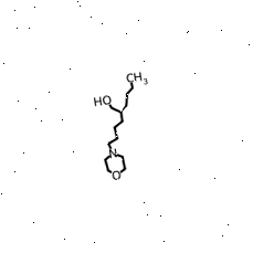 CCCC[C@H](CO)CCCCN1CCOCC1